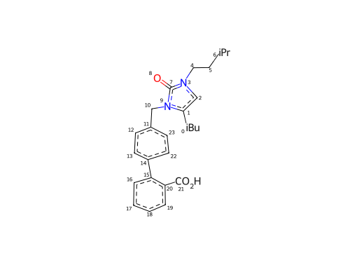 CCC(C)c1cn(CCC(C)C)c(=O)n1Cc1ccc(-c2ccccc2C(=O)O)cc1